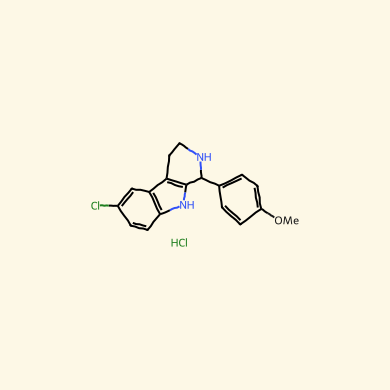 COc1ccc(C2NCCc3c2[nH]c2ccc(Cl)cc32)cc1.Cl